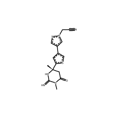 CN1C(=N)N[C@](C)(c2cc(-c3cnn(CC#N)c3)cs2)CC1=O